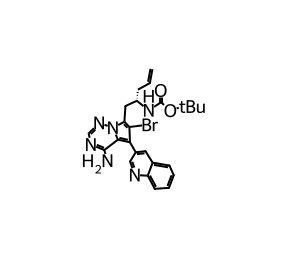 C=CC[C@@H](Cc1c(Br)c(-c2cnc3ccccc3c2)c2c(N)ncnn12)NC(=O)OC(C)(C)C